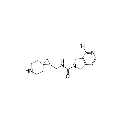 [2H]c1nccc2c1CN(C(=O)NCC1CC13CCNCC3)C2